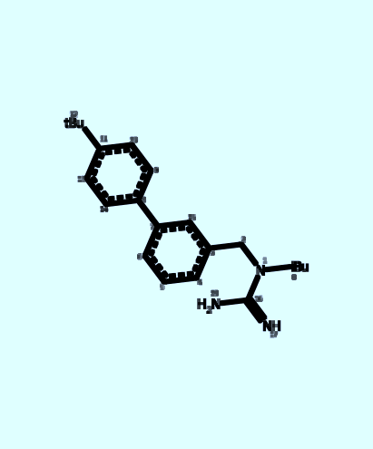 CCC(C)N(Cc1cccc(-c2ccc(C(C)(C)C)cc2)c1)C(=N)N